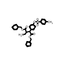 Cc1ccc(S(=O)(=O)Oc2ccc(C(C(=O)OCc3ccccc3)C(CN)C(=O)OCc3ccccc3)cc2)cc1